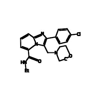 CCNC(=O)c1cccc2nc(-c3ccc(Cl)cc3)c(CN3CCOCC3)n12